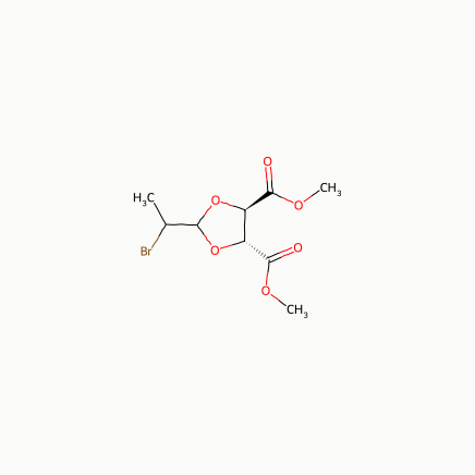 COC(=O)[C@@H]1OC(C(C)Br)O[C@H]1C(=O)OC